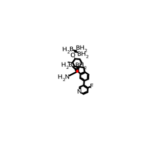 BC(B)(B)O[C@@H]1CC[C@]2(Cc3ccc(-c4cnccc4F)cc3[C@]23N=C(N)OC3(B)B)C[C@H]1C